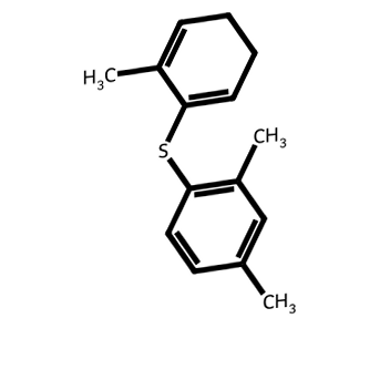 CC1=CCCC=C1Sc1ccc(C)cc1C